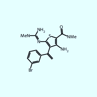 C=C(c1cccc(Br)c1)c1c(/N=C(\N)NC)sc(C(=O)NC)c1N